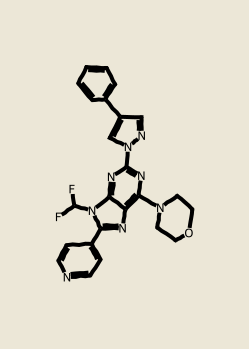 FC(F)n1c(-c2ccncc2)nc2c(N3CCOCC3)nc(-n3cc(-c4ccccc4)cn3)nc21